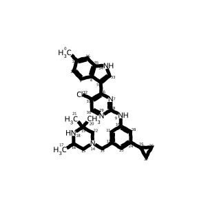 Cc1ccc2c(-c3nc(Nc4cc(CN5CC(C)NC(C)(C)C5)cc(C5CC5)c4)ncc3Cl)c[nH]c2c1